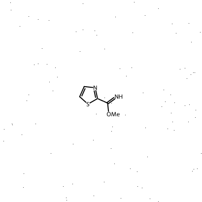 COC(=N)c1nccs1